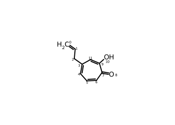 C=CCc1cccc(=O)c(O)c1